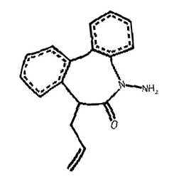 C=CCC1C(=O)N(N)c2ccccc2-c2ccccc21